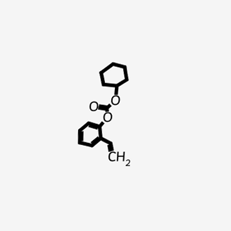 C=Cc1ccccc1OC(=O)OC1CCCCC1